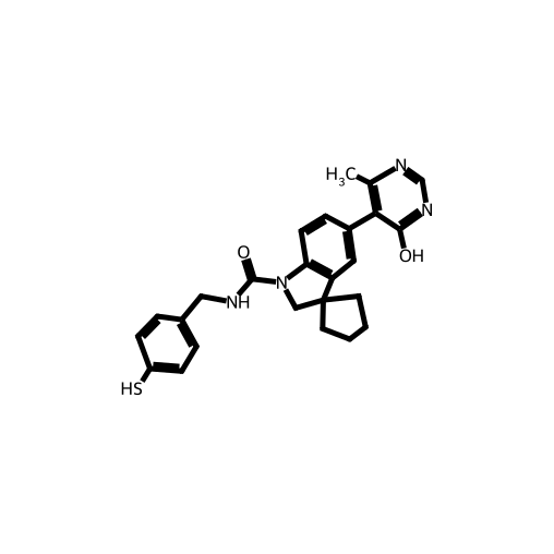 Cc1ncnc(O)c1-c1ccc2c(c1)C1(CCCC1)CN2C(=O)NCc1ccc(S)cc1